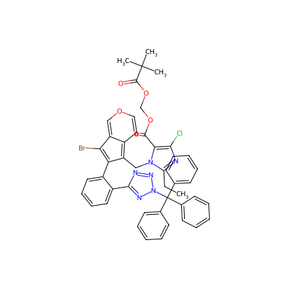 CCc1nc(Cl)c(C(=O)OCOC(=O)C(C)(C)C)n1Cc1c2ccocc-2c(Br)c1-c1ccccc1-c1nnn(C(c2ccccc2)(c2ccccc2)c2ccccc2)n1